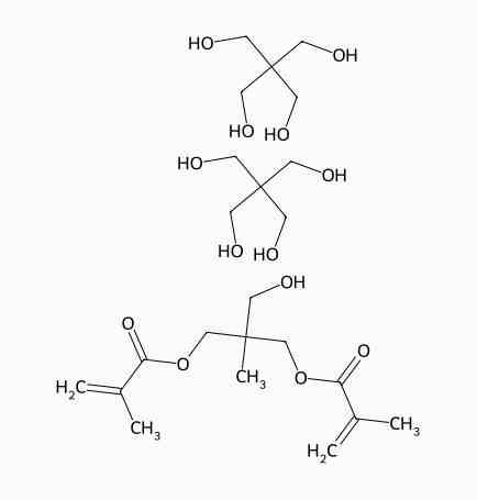 C=C(C)C(=O)OCC(C)(CO)COC(=O)C(=C)C.OCC(CO)(CO)CO.OCC(CO)(CO)CO